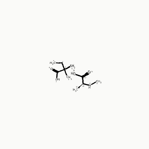 CCC(C)(N)C(=O)O.CN[C@@H](C)C(=O)O